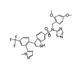 COc1ccc(CN(c2ncns2)S(=O)(=O)c2ccc3c(-c4ccc(C(F)(F)F)cc4-c4ccnn4C)c[nH]c3c2)c(OC)c1